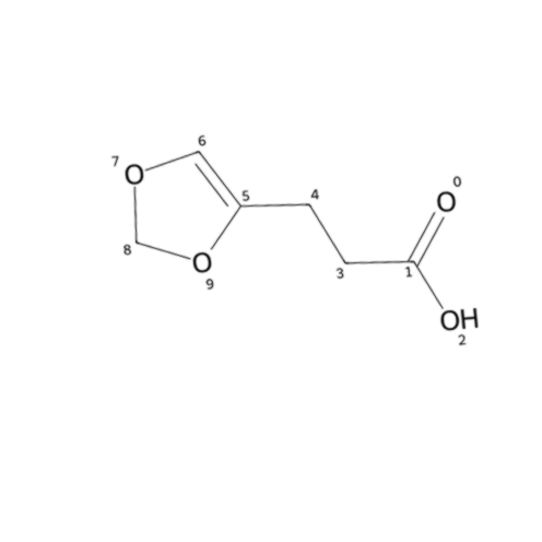 O=C(O)CCC1=COCO1